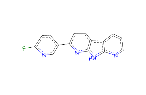 Fc1ccc(-c2ccc3c(n2)[nH]c2ncccc23)cn1